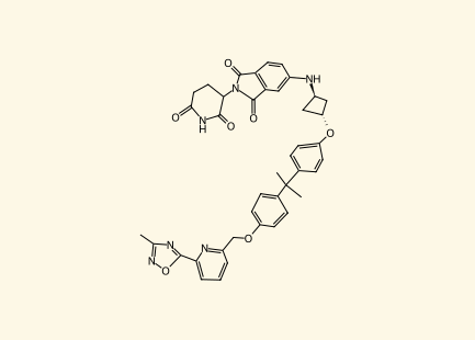 Cc1noc(-c2cccc(COc3ccc(C(C)(C)c4ccc(O[C@H]5C[C@H](Nc6ccc7c(c6)C(=O)N(C6CCC(=O)NC6=O)C7=O)C5)cc4)cc3)n2)n1